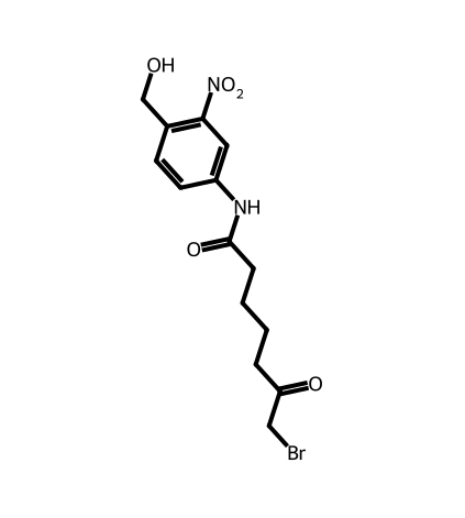 O=C(CBr)CCCCC(=O)Nc1ccc(CO)c([N+](=O)[O-])c1